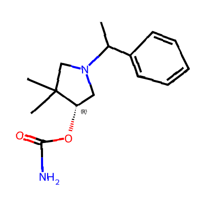 CC(c1ccccc1)N1C[C@H](OC(N)=O)C(C)(C)C1